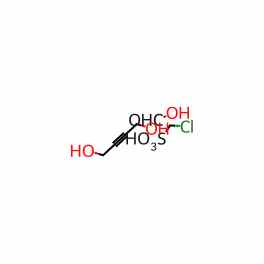 O=CO.O=S(=O)(O)CCl.OCC#CCO